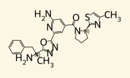 Cc1csc([C@H]2CCCN2C(=O)c2cc(N)nc(-c3nnc([C@](C)(N)Cc4ccccc4)o3)c2)n1